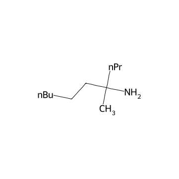 [CH2]CCC(C)(N)CCCCCC